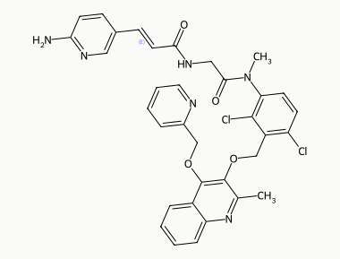 Cc1nc2ccccc2c(OCc2ccccn2)c1OCc1c(Cl)ccc(N(C)C(=O)CNC(=O)/C=C/c2ccc(N)nc2)c1Cl